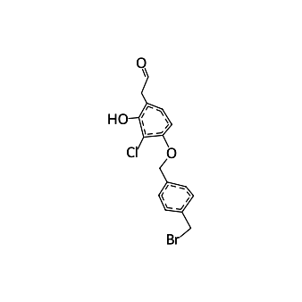 O=CCc1ccc(OCc2ccc(CBr)cc2)c(Cl)c1O